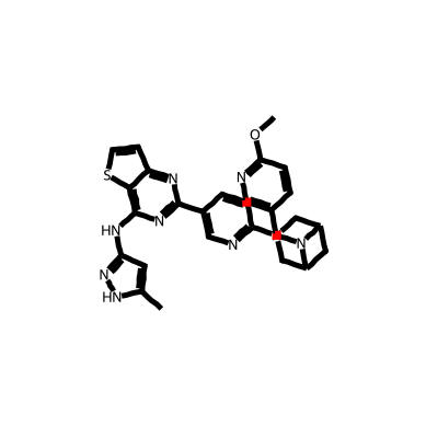 COc1ccc(CN2C3CC2CN(c2ccc(-c4nc(Nc5cc(C)[nH]n5)c5sccc5n4)cn2)C3)cn1